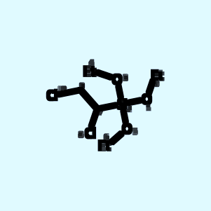 CCO[Si](OCC)(OCC)C(Cl)CCl